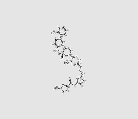 O=C(Cc1cc(OCCN2CCC(N3CCN4c5cc(-c6ccccc6O)nnc5NC[C@H]4C3)C(O)C2)no1)N1CC[C@@H](O)C1